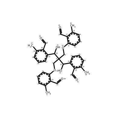 Cc1cccc(OCC(COc2cccc(C)c2C=O)(C(O)c2cccc(C)c2C=O)C(O)c2cccc(C)c2C=O)c1C=O